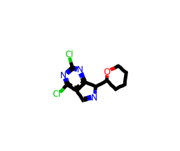 Clc1nc(Cl)c2c(n1)C(C1CCCCO1)N=C2